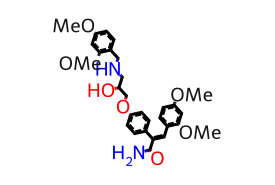 COc1ccc(C=C(C(N)=O)c2ccc(OCC(O)CNCc3ccc(OC)cc3OC)cc2)c(OC)c1